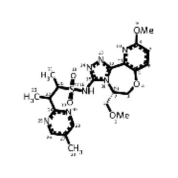 COC[C@H]1COc2ccc(OC)nc2-c2nnc(NS(=O)(=O)C(C)C(C)c3ncc(C)cn3)n21